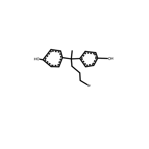 CC(CCCBr)(c1ccc(O)cc1)c1ccc(O)cc1